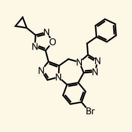 Brc1ccc2c(c1)-c1nnc(Cc3ccccc3)n1Cc1c(-c3nc(C4CC4)no3)ncn1-2